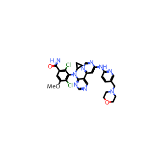 COc1cc(C(N)=O)c(Cl)c(N(c2ncncc2-c2cc(Nc3ccc(CN4CCOCC4)cn3)ncn2)C2CC2)c1Cl